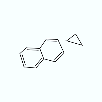 [CH]1CC1.[c]1cccc2ccccc12